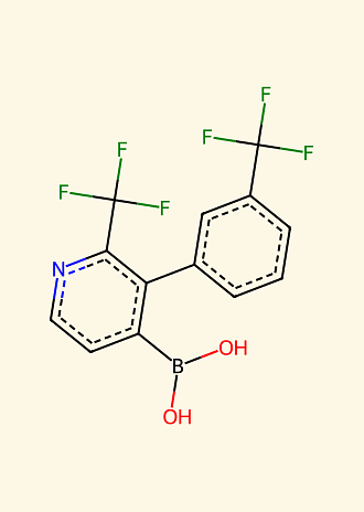 OB(O)c1ccnc(C(F)(F)F)c1-c1cccc(C(F)(F)F)c1